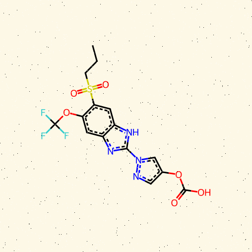 CCCS(=O)(=O)c1cc2[nH]c(-n3cc(OC(=O)O)cn3)nc2cc1OC(F)(F)F